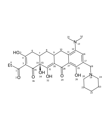 CCC(=O)C1=C(O)CC2CC3Cc4c(N(C)C)cc(CN5CCCCC5)c(O)c4C(=O)C3=C(O)[C@]2(O)C1=O